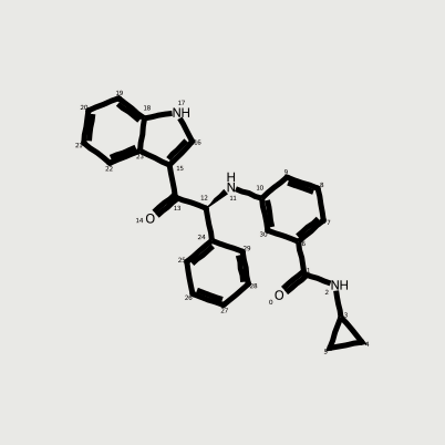 O=C(NC1CC1)c1cccc(N[C@H](C(=O)c2c[nH]c3ccccc23)c2ccccc2)c1